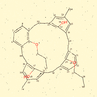 CCCOc1c2cccc1Cc1cc(C)cc(c1O)Cc1cccc(c1OCCC)Cc1cc(C)cc(c1O)C2